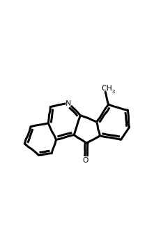 Cc1cccc2c1-c1ncc3ccccc3c1C2=O